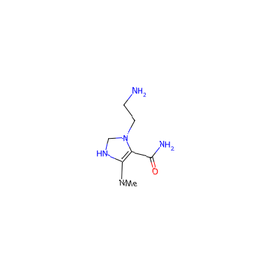 CNC1=C(C(N)=O)N(CCN)CN1